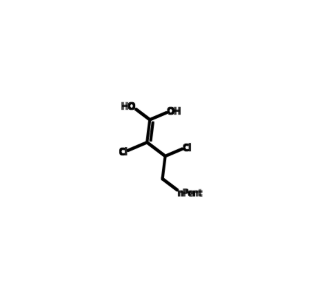 CCCCCCC(Cl)C(Cl)=C(O)O